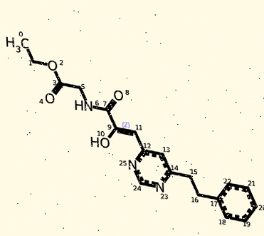 CCOC(=O)CNC(=O)/C(O)=C/c1cc(CCc2ccccc2)ncn1